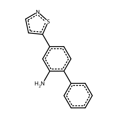 Nc1cc(-c2ccns2)ccc1-c1ccccc1